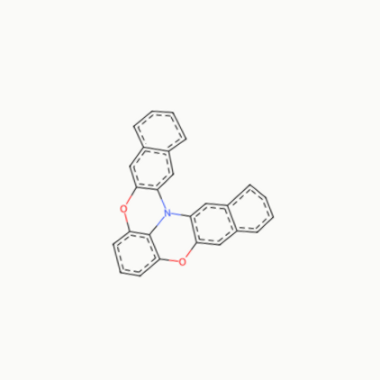 c1cc2c3c(c1)Oc1cc4ccccc4cc1N3c1cc3ccccc3cc1O2